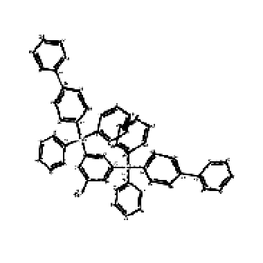 Brc1cc([Si](c2ccccc2)(c2ccccc2)c2ccc(-c3ccccc3)cc2)cc([Si](c2ccccc2)(c2ccccc2)c2ccc(-c3ccccc3)cc2)c1